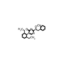 CCc1cccc(CC)c1-n1cnc(N(Cc2ccccc2)OC)nc1=O